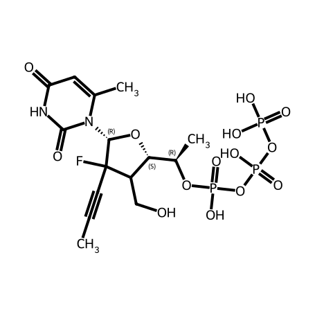 CC#CC1(F)C(CO)[C@@H]([C@@H](C)OP(=O)(O)OP(=O)(O)OP(=O)(O)O)O[C@H]1n1c(C)cc(=O)[nH]c1=O